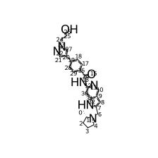 C[C@H]1CCCN1Cc1cc2cnc(NC(=O)c3ccc(-c4cnn(CCO)c4)cc3)cc2[nH]1